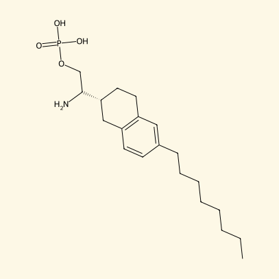 CCCCCCCCc1ccc2c(c1)CC[C@@H](C(N)COP(=O)(O)O)C2